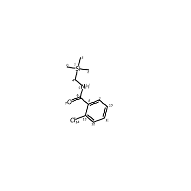 C[Si](C)(C)CNC(=O)c1ccccc1Cl